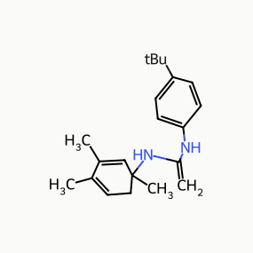 C=C(Nc1ccc(C(C)(C)C)cc1)NC1(C)C=C(C)C(C)=CC1